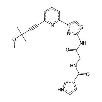 COC(C)(C)C#Cc1cccc(-c2csc(NC(=O)CNC(=O)c3cc[nH]c3)n2)n1